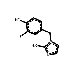 Cc1nccn1Cc1ccc(C#N)c(F)c1